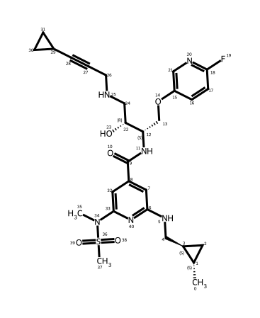 C[C@H]1C[C@@H]1CNc1cc(C(=O)N[C@@H](COc2ccc(F)nc2)[C@H](O)CNCC#CC2CC2)cc(N(C)S(C)(=O)=O)n1